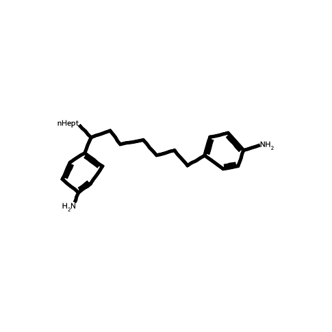 CCCCCCCC(CCCCCCc1ccc(N)cc1)c1ccc(N)cc1